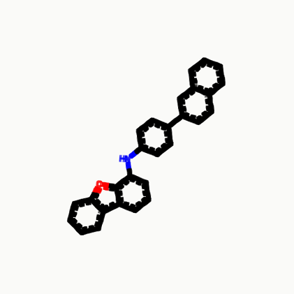 c1ccc2cc(-c3ccc(Nc4cccc5c4oc4ccccc45)cc3)ccc2c1